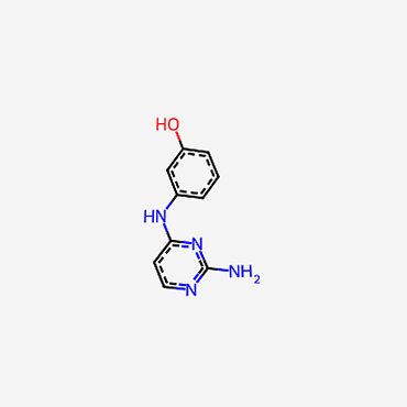 Nc1nccc(Nc2cccc(O)c2)n1